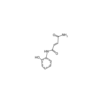 NC(=O)/C=C/C(=O)Nc1ccccc1O